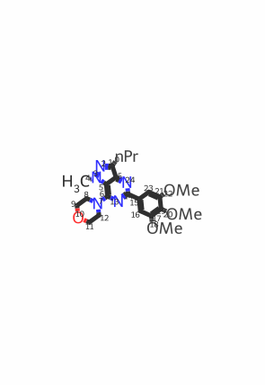 CCCc1nn(C)c2c(N3CCOCC3)nc(-c3cc(OC)c(OC)c(OC)c3)nc12